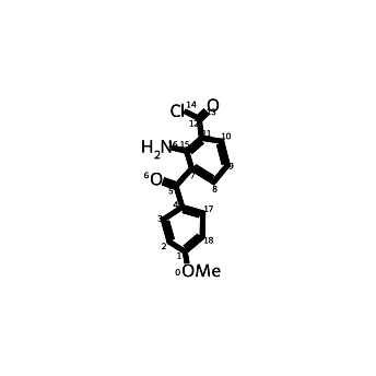 COc1ccc(C(=O)c2cccc(C(=O)Cl)c2N)cc1